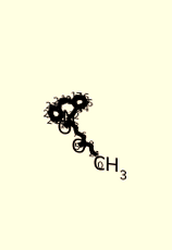 CCCCC(=O)CCCC(=O)N1Cc2ccccc2C#Cc2ccccc21